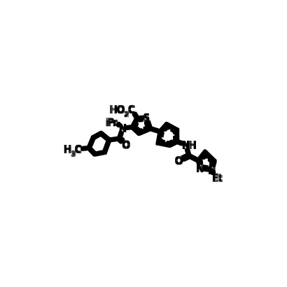 CCn1ccc(C(=O)Nc2ccc(-c3cc(N(C(=O)C4CCC(C)CC4)C(C)C)c(C(=O)O)s3)cc2)n1